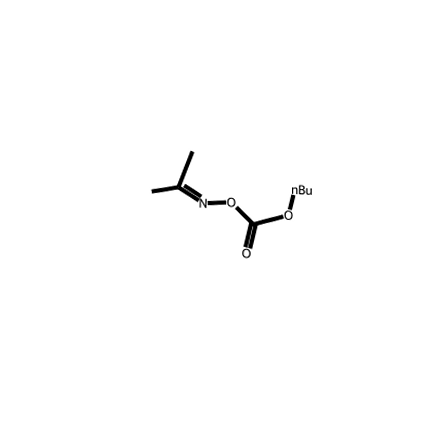 CCCCOC(=O)ON=C(C)C